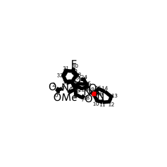 COC(=O)N1CC2(CCN(C3CC4CCC(C3)N4C(=O)O[C@H]3CCOC3)CC2)c2cc(F)ccc21